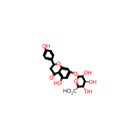 O=C1CC(c2ccc(O)cc2)Oc2cc(O[C@@H]3O[C@H](C(=O)O)[C@@H](O)[C@H](O)[C@H]3O)cc(O)c21